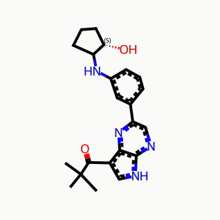 CC(C)(C)C(=O)c1c[nH]c2ncc(-c3cccc(NC4CCC[C@@H]4O)c3)nc12